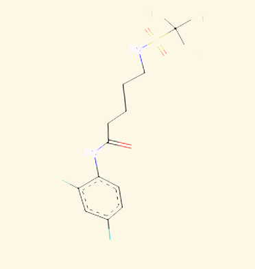 CC(C)(C)S(=O)(=O)NCCCCC(=O)Nc1ccc(F)cc1F